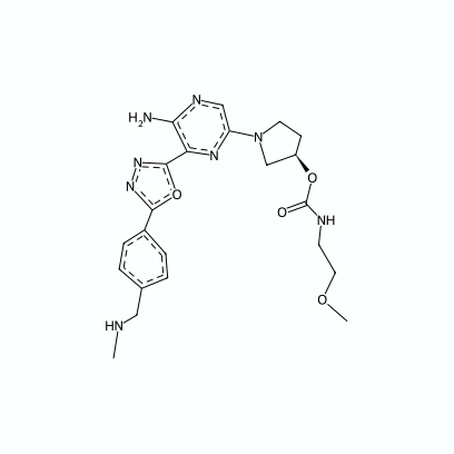 CNCc1ccc(-c2nnc(-c3nc(N4CC[C@@H](OC(=O)NCCOC)C4)cnc3N)o2)cc1